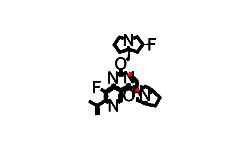 C=CC(=O)N1C2CCC1CN(c1nc(OC[C@@]34CCCN3C[C@H](F)C4)nc3c(F)c(C(=C)C)ncc13)C2